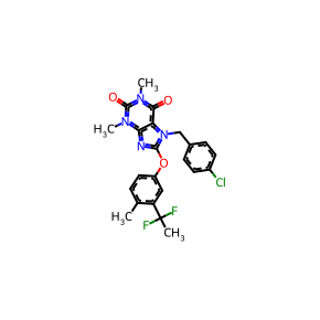 Cc1ccc(Oc2nc3c(c(=O)n(C)c(=O)n3C)n2Cc2ccc(Cl)cc2)cc1C(C)(F)F